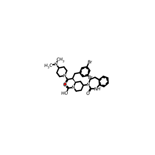 CN(C)C1CCN(C(=O)C(Cc2cc(Br)cc(Br)c2)[C@H]2CC(N3CCc4ccccc4NC3=O)CCN2C(=O)O)CC1